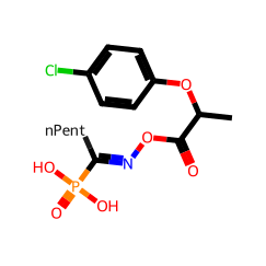 CCCCCC(=NOC(=O)C(C)Oc1ccc(Cl)cc1)P(=O)(O)O